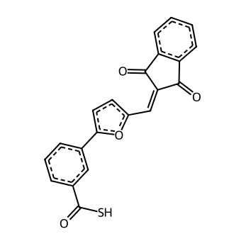 O=C(S)c1cccc(-c2ccc(C=C3C(=O)c4ccccc4C3=O)o2)c1